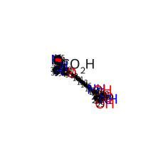 O=C(O)N(c1cccc(OCCCCCCCCCNC[C@H](O)c2ccc(O)c3[nH]c(=O)ccc23)c1)[C@@H](c1ccccn1)C1CN2CCC1CC2